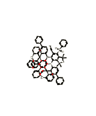 CC1(C)OC(C)(C)c2c1c(N1c3ccc(-c4ccccc4)cc3C3(c4ccccc4Oc4ccccc43)c3cc(-c4ccccc4)ccc31)c(N1c3ccc(-c4ccccc4)cc3C3(c4ccccc4Oc4ccccc43)c3cc(-c4ccccc4)ccc31)c(C#N)c2S(=O)(=O)c1ccccc1